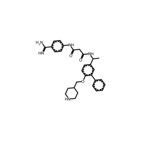 CC(NC(=O)CC(=O)Nc1ccc(C(=N)N)cc1)c1ccc(OCC2CCNCC2)c(-c2ccccc2)c1